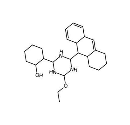 CCOC1NC(C2CCCCC2O)NC(C2C3CCCCC3=CC3C=CC=CC32)N1